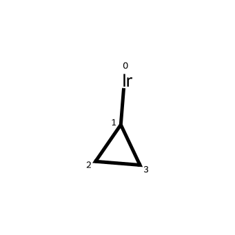 [Ir][CH]1CC1